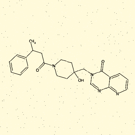 CC(CC(=O)N1CCC(O)(Cn2cnc3ncccc3c2=O)CC1)c1ccccc1